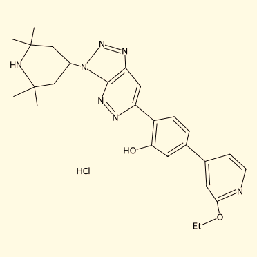 CCOc1cc(-c2ccc(-c3cc4nnn(C5CC(C)(C)NC(C)(C)C5)c4nn3)c(O)c2)ccn1.Cl